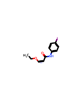 CCO/C=C\C(=O)Nc1ccc(I)cc1